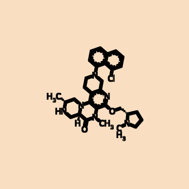 C[C@@H]1CN2c3c4c(nc(OC[C@@H]5CCCN5C)c3N(C)C(=O)[C@H]2CN1)CN(c1cccc2cccc(Cl)c12)CC4